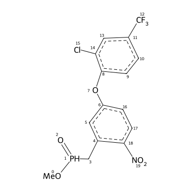 CO[PH](=O)Cc1cc(Oc2ccc(C(F)(F)F)cc2Cl)ccc1[N+](=O)[O-]